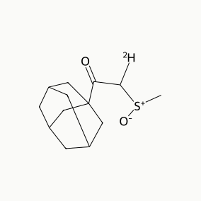 [2H]C(C(=O)C12CC3CC(CC(C3)C1)C2)[S+](C)[O-]